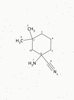 CC1(C)CCCC(N)(C#N)C1